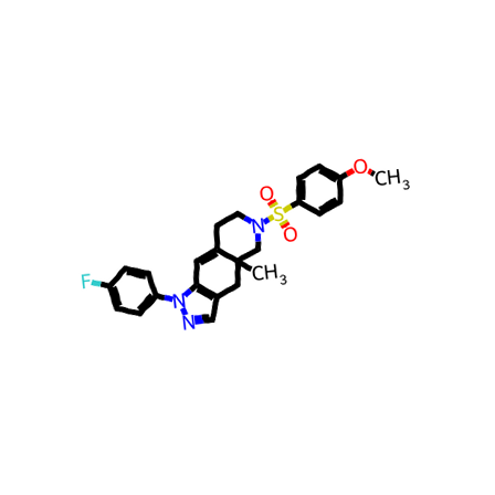 COc1ccc(S(=O)(=O)N2CCC3=Cc4c(cnn4-c4ccc(F)cc4)CC3(C)C2)cc1